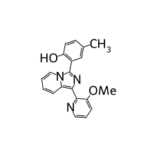 COc1cccnc1-c1nc(-c2cc(C)ccc2O)n2ccccc12